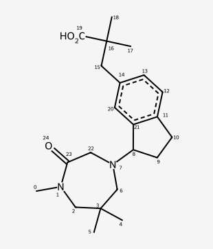 CN1CC(C)(C)CN(C2CCc3ccc(CC(C)(C)C(=O)O)cc32)CC1=O